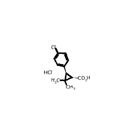 CC1(C)[C@@H](C(=O)O)[C@@H]1c1ccc(Cl)cc1.Cl